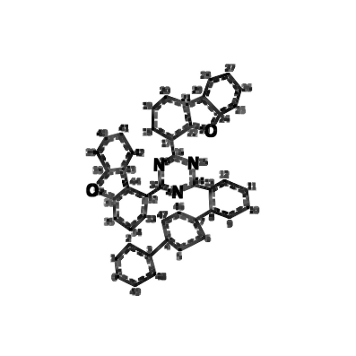 c1ccc(-c2ccc(-c3ccccc3-c3nc(-c4cccc5c4oc4ccccc45)nc(-c4cccc5oc6ccccc6c45)n3)cc2)cc1